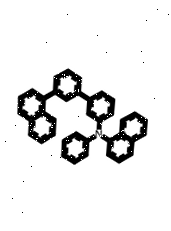 c1ccc(N(c2cccc(-c3cccc(-c4cccc5ccccc45)c3)c2)c2cccc3ccccc23)cc1